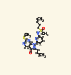 C=CCCS(C)(=O)=Nc1cccc(-n2c3nc(SC)ncc3c(=O)n2CC=C)n1